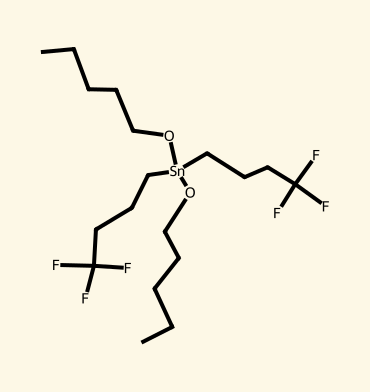 CCCCC[O][Sn]([CH2]CCC(F)(F)F)([CH2]CCC(F)(F)F)[O]CCCCC